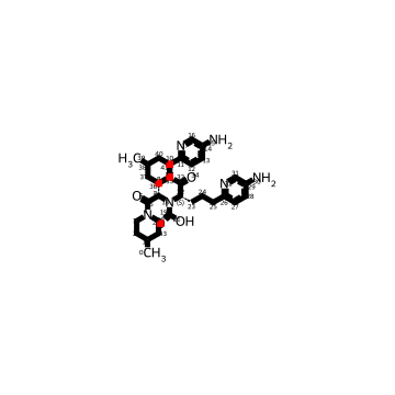 CC1CCN(C(=O)[C@H](CCCc2ccc(N)cn2)N(C(=O)O)[C@@H](CCCc2ccc(N)cn2)C(=O)N2CCC(C)CC2)CC1